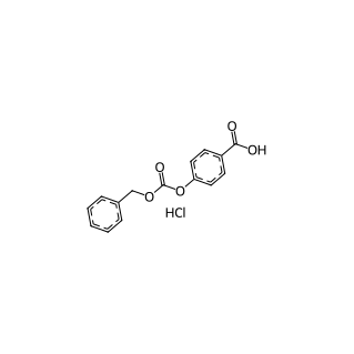 Cl.O=C(OCc1ccccc1)Oc1ccc(C(=O)O)cc1